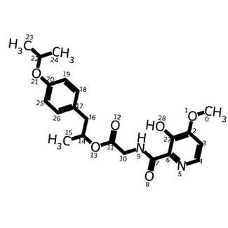 COc1ccnc(C(=O)NCC(=O)OC(C)Cc2ccc(OC(C)C)cc2)c1O